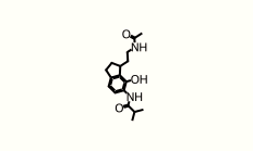 CC(=O)NCCC1CCc2ccc(NC(=O)C(C)C)c(O)c21